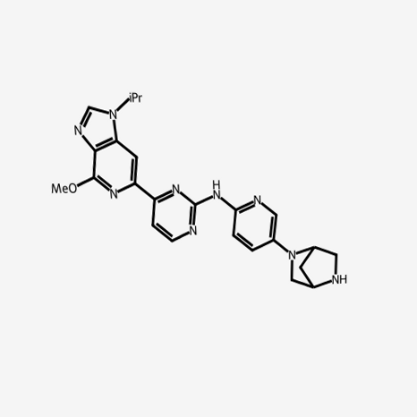 COc1nc(-c2ccnc(Nc3ccc(N4CC5CC4CN5)cn3)n2)cc2c1ncn2C(C)C